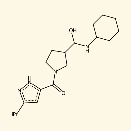 CC(C)c1cc(C(=O)N2CCC(C(O)NC3CCCCC3)C2)[nH]n1